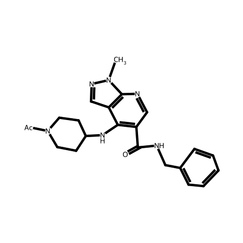 CC(=O)N1CCC(Nc2c(C(=O)NCc3ccccc3)cnc3c2cnn3C)CC1